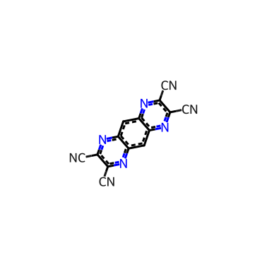 N#Cc1nc2cc3nc(C#N)c(C#N)nc3cc2nc1C#N